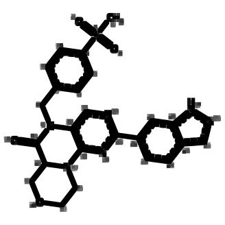 CS(=O)(=O)c1ccc(CN2C(=O)C3COCCN3c3nc(-c4ccc5cn[nH]c5c4)ncc32)cc1